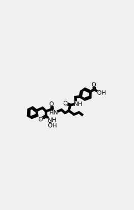 CCCC(CCNC(=O)C(Cc1ccccc1)C(=O)NO)C(=O)NCc1ccc(C(=O)O)cc1